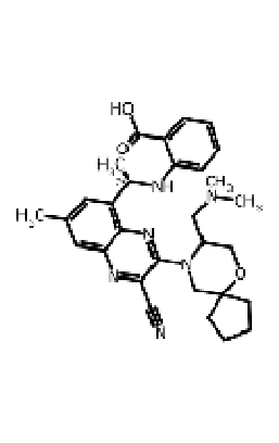 Cc1cc([C@@H](C)Nc2ccccc2C(=O)O)c2nc(N3CC4(CCCC4)OCC3CN(C)C)c(C#N)nc2c1